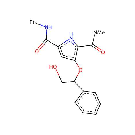 CCNC(=O)c1cc(OC(CO)c2ccccc2)c(C(=O)NC)[nH]1